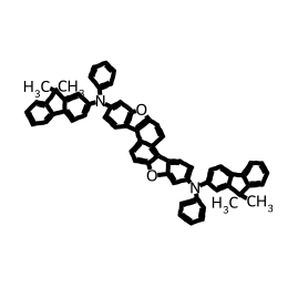 CC1(C)c2ccccc2-c2ccc(N(c3ccccc3)c3ccc4c(c3)oc3ccc5c(ccc6oc7cc(N(c8ccccc8)c8ccc9c(c8)C(C)(C)c8ccccc8-9)ccc7c65)c34)cc21